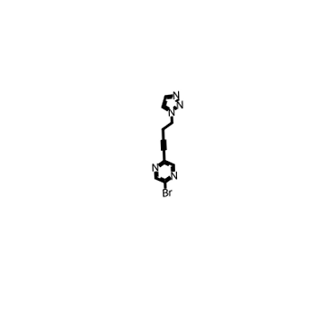 Brc1cnc(C#CCCn2ccnn2)cn1